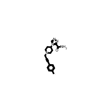 [CH2]c1ccc(C#CCN2CCC(n3cnnc3C(N)=O)CC2)cc1